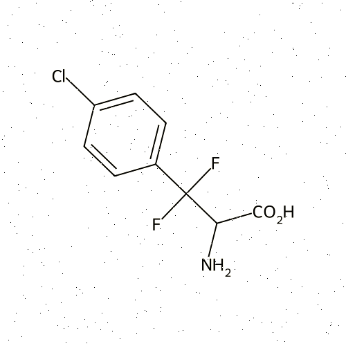 NC(C(=O)O)C(F)(F)c1ccc(Cl)cc1